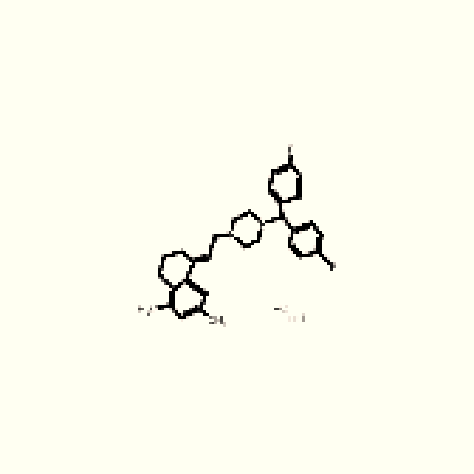 Cc1cc(C)c2c(c1)C(=CCN1CCN(C(c3ccc(F)cc3)c3ccc(F)cc3)CC1)CCC2.Cl.Cl